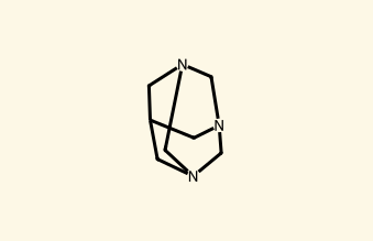 C1C2CN3CN1CN(C2)C3